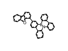 c1ccc2c(c1)B1c3cc(-c4cccc5c4oc4ccccc45)ccc3-c3ccccc3N1c1ccccc1-2